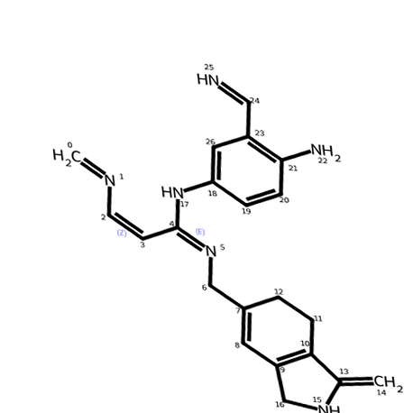 C=N/C=C\C(=N/CC1=CC2=C(CC1)C(=C)NC2)Nc1ccc(N)c(C=N)c1